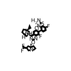 Nc1nc2c(-c3c(Cl)cc4c(N5C[C@@H]6CC[C@](C7CC7)(C5)N6)nc(OC[C@@]56CCCN5CC(=C(F)F)C6)nc4c3F)ccc(F)c2s1